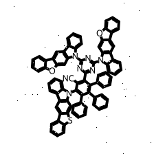 N#Cc1c(-c2nc(-n3c4ccccc4c4cc5c(cc43)oc3ccccc35)nc(-n3c4ccccc4c4cc5c(cc43)oc3ccccc35)n2)c(-c2ccccc2)c(-c2ccccc2)c(-c2ccccc2)c1-n1c2ccccc2c2cc3c(cc21)sc1ccccc13